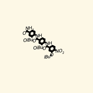 CCC(C)Oc1cc(C(=O)Nc2ccc(C(=O)Nc3ccc(C(N)=O)cc3OCC(C)C)cc2OCC(C)C)ccc1[N+](=O)[O-]